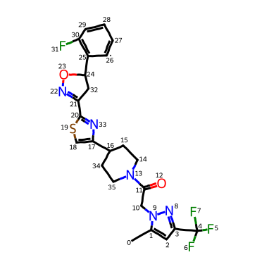 Cc1cc(C(F)(F)F)nn1CC(=O)N1CCC(c2csc(C3=NOC(c4[c]cccc4F)C3)n2)CC1